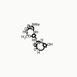 CNc1cc2nc3c(cnn13)C(=O)NCC(C)Oc1cc(CNc3cc4nc5c(cnn35)C(=O)NCCCc3cc(O)cc(c3)N4)cc(c1)N2